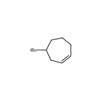 CC[C](C)C1CC=CCCC1